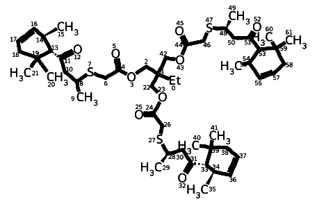 CCC(COC(=O)CSC(C)CC(=O)[C@H]1[C@H](C)C=CCC1(C)C)(COC(=O)CS[C@H](C)CC(=O)[C@H]1[C@H](C)C=CCC1(C)C)COC(=O)CS[C@@H](C)CC(=O)C1C(C)C=CCC1(C)C